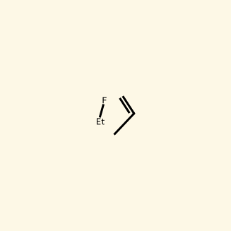 C=CC.CCF